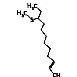 CC=CCCCCCCC(CC)SC